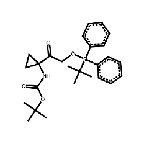 CC(C)(C)OC(=O)NC1(C(=O)CO[Si](c2ccccc2)(c2ccccc2)C(C)(C)C)CC1